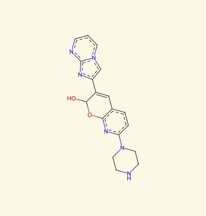 OC1Oc2nc(N3CCNCC3)ccc2C=C1c1cn2cccnc2n1